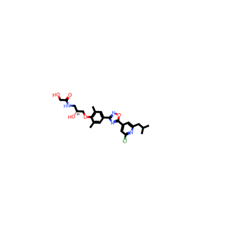 Cc1cc(-c2noc(-c3cc(Cl)nc(CC(C)C)c3)n2)cc(C)c1OC[C@H](O)CNC(=O)CO